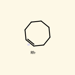 C1=C\CCCCCC/1.[Rh]